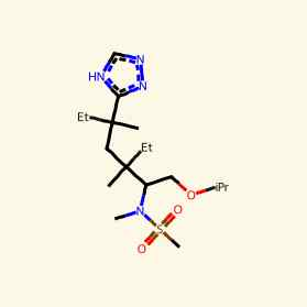 CCC(C)(CC(C)(CC)C(COC(C)C)N(C)S(C)(=O)=O)c1nnc[nH]1